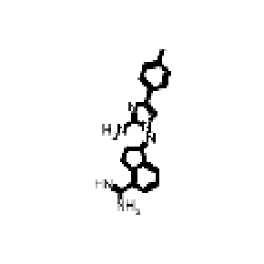 Cc1ccc(-c2cn(N=C3CCc4c(C(=N)N)cccc43)c(N)n2)cc1